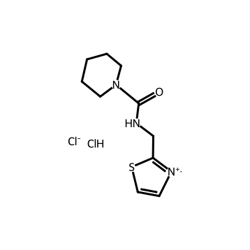 Cl.O=C(NCC1=[N+]C=CS1)N1CCCCC1.[Cl-]